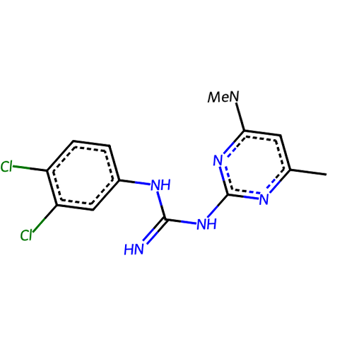 CNc1cc(C)nc(NC(=N)Nc2ccc(Cl)c(Cl)c2)n1